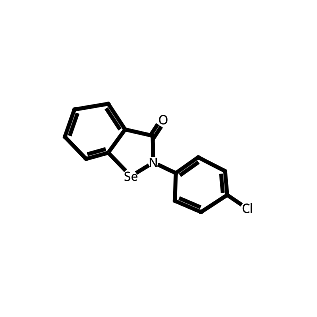 O=c1c2ccccc2[se]n1-c1ccc(Cl)cc1